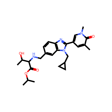 Cc1cc(-c2nc3ccc(CNC(C(=O)OC(C)C)C(C)O)cc3n2CC2CC2)cn(C)c1=O